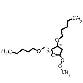 CCCCCOC[C@H]1OC(OOC)C[C@@H]1OCCCCC